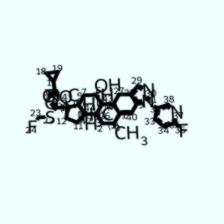 C[C@H]1C[C@@H]2[C@H]([C@@H](O)C[C@@]3(C)[C@H]2CC[C@]3(OC(=O)C2CC2)C(=O)SCF)[C@@]2(C)Cc3cnn(-c4ccc(F)nc4)c3C=C12